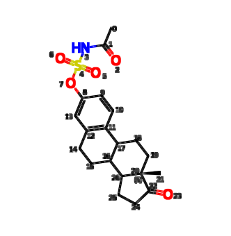 CC(=O)NS(=O)(=O)Oc1ccc2c(c1)CCC1C2CC[C@]2(C)C(=O)CCC12